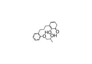 CC(O)COc1ccccc1CCCC1=C(O)C(=O)CC=C1